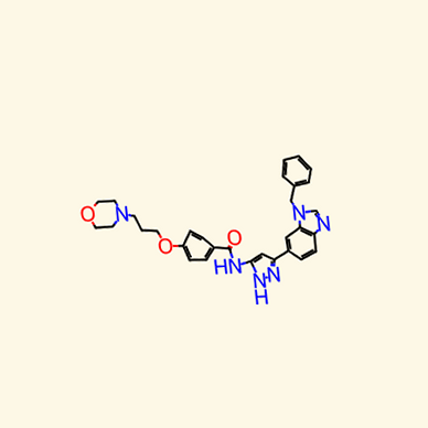 O=C(Nc1cc(-c2ccc3ncn(Cc4ccccc4)c3c2)n[nH]1)c1ccc(OCCCN2CCOCC2)cc1